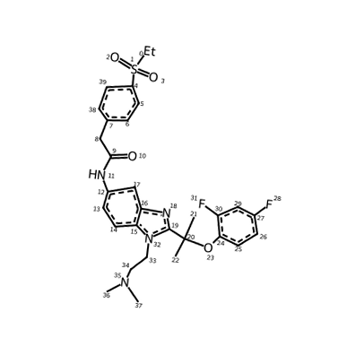 CCS(=O)(=O)c1ccc(CC(=O)Nc2ccc3c(c2)nc(C(C)(C)Oc2ccc(F)cc2F)n3CCN(C)C)cc1